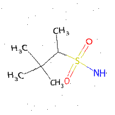 CC(C(C)(C)C)S([NH])(=O)=O